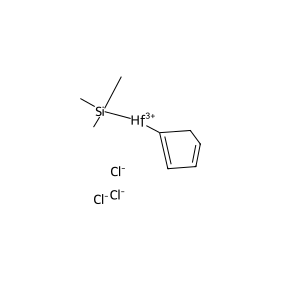 C[Si](C)(C)[Hf+3][C]1=CC=CC1.[Cl-].[Cl-].[Cl-]